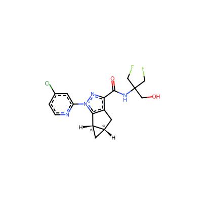 O=C(NC(CO)(CF)CF)c1nn(-c2cc(Cl)ccn2)c2c1C[C@@H]1C[C@H]21